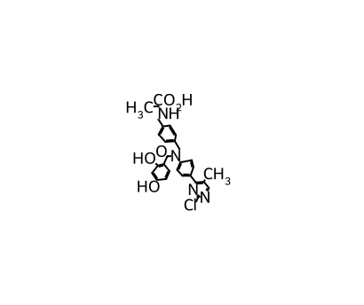 Cc1cnc(Cl)nc1-c1ccc(N(Cc2ccc(CNC(C)C(=O)O)cc2)C(=O)c2ccc(O)cc2O)cc1